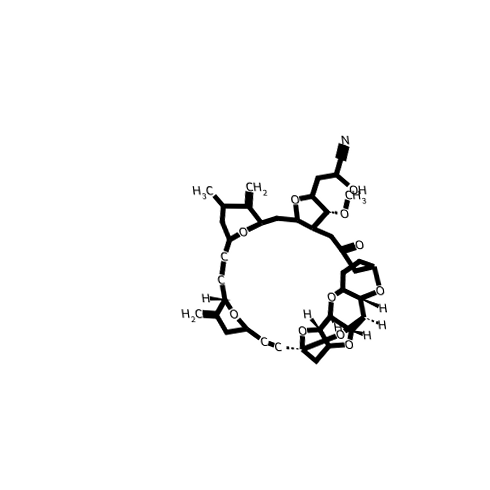 C=C1C(C)CC2CC[C@@H]3OC(CC[C@@]45CC6O[C@H]7[C@@H](O4)[C@H]4OC(CCC4O[C@H]7[C@H]6O5)CC(=O)CC4C(CC1O2)OC(CC(O)C#N)[C@@H]4OC)CC3=C